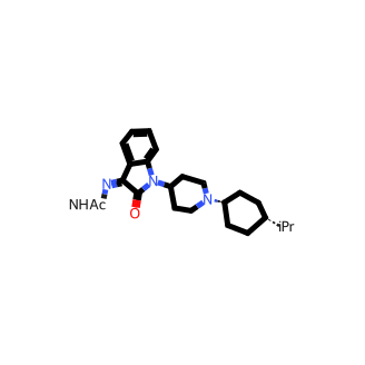 CC(=O)N/N=C1\C(=O)N(C2CCN([C@H]3CC[C@@H](C(C)C)CC3)CC2)c2ccccc21